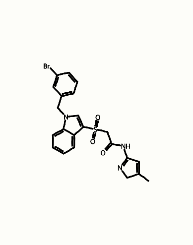 CC1=CC(NC(=O)CS(=O)(=O)c2cn(Cc3cccc(Br)c3)c3ccccc23)=NC1